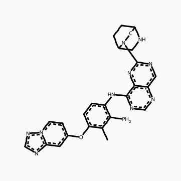 Cc1c(Oc2ccn3ncnc3c2)ccc(Nc2ncnc3cnc(N4CC5CCC4CN5)nc23)c1P